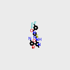 COc1ccc(C#N)cc1-c1cc(C)ncc1C(=O)Nc1nc2c(s1)CN(C(=O)c1cccc(C(F)F)c1F)C2